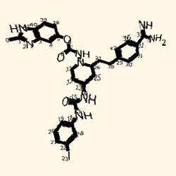 Cc1nc2cc(OC(=O)NN3CCC(NC(=O)Nc4cccc(I)c4)CC3CCc3ccc(C(=N)N)cc3)ccc2[nH]1